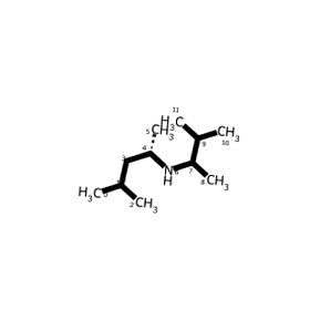 CC(C)C[C@H](C)NC(C)C(C)C